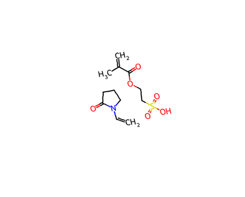 C=C(C)C(=O)OCCS(=O)(=O)O.C=CN1CCCC1=O